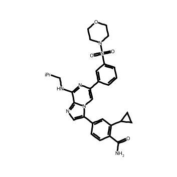 CC(C)CNc1nc(-c2cccc(S(=O)(=O)N3CCOCC3)c2)cn2c(-c3ccc(C(N)=O)c(C4CC4)c3)cnc12